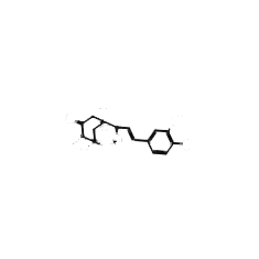 C[C@H]1C(=O)C[C@@H]2C[C@H]1OO[C@]2(C)C=Cc1ccc(Cl)c(Cl)c1